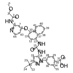 COCC(=O)Nc1cc(Oc2ccc(NC(=O)Nc3cc(C(C)(C)C)nn3-c3ccc(C(=O)O)c(C)c3)c3ccccc23)ccn1